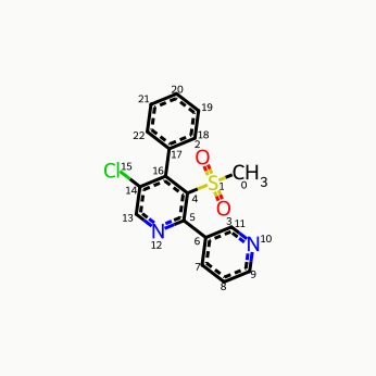 CS(=O)(=O)c1c(-c2cccnc2)ncc(Cl)c1-c1ccccc1